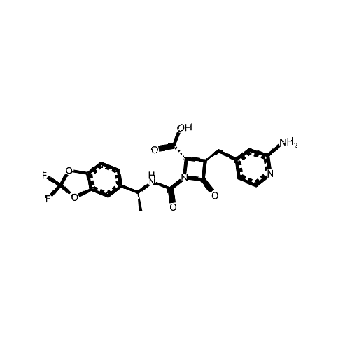 C[C@H](NC(=O)N1C(=O)[C@H](Cc2ccnc(N)c2)[C@H]1C(=O)O)c1ccc2c(c1)OC(F)(F)O2